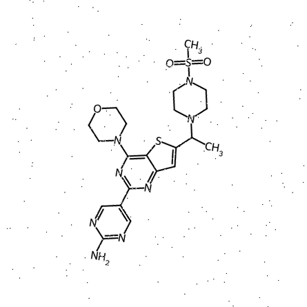 CC(c1cc2nc(-c3cnc(N)nc3)nc(N3CCOCC3)c2s1)N1CCN(S(C)(=O)=O)CC1